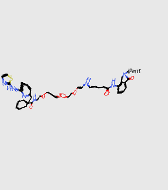 CCCC(C)N1Cc2c(NC(=O)CCCCNCCOCCOCCOCCNC(=O)C3(Cc4cccc(Nc5nccs5)n4)CCCCC3)cccc2C1=O